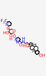 C[C@]12CC[C@@H]3c4ccc(O)cc4CC[C@H]3[C@@H]1CC[C@@]2(O)CCNC(=O)c1ccc(OC[C@H]2OC[C@H](Oc3cccc(C(F)(F)F)n3)[C@@H](O)[C@H]2O)nn1